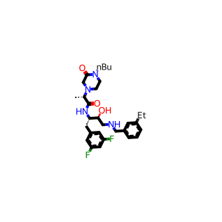 CCCCN1CCN([C@@H](C)C(=O)N[C@@H](Cc2cc(F)cc(F)c2)[C@@H](O)CNCc2cccc(CC)c2)CC1=O